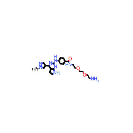 CCCn1cc(-c2nc(Nc3ccc(C(=O)NCCOCCOCCN)cc3)nc3[nH]ccc23)cn1